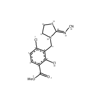 COC(=O)c1ccc(Cl)c(CN2CCSC2=NC#N)c1Cl